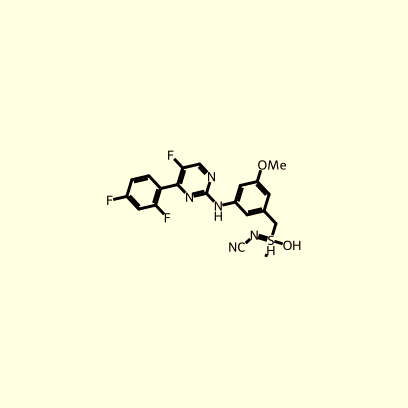 COc1cc(C[SH](C)(O)=NC#N)cc(Nc2ncc(F)c(-c3ccc(F)cc3F)n2)c1